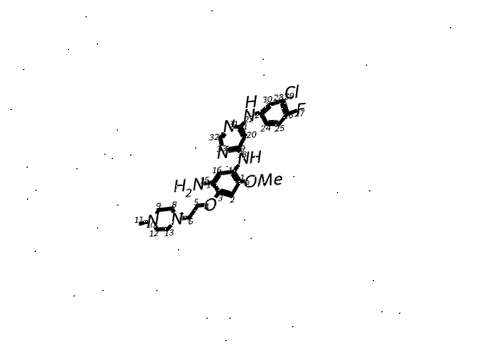 COc1cc(OCCN2CCN(C)CC2)c(N)cc1Nc1cc(Nc2ccc(F)c(Cl)c2)ncn1